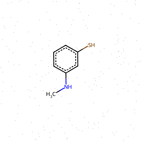 CNc1cccc(S)c1